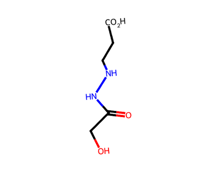 O=C(O)CCNNC(=O)CO